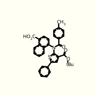 Cc1ccc(C(=O)N(c2sc(-c3ccccc3)cc2C(=O)OC(C)(C)C)c2ccc(C(=O)O)c3ccccc23)cc1